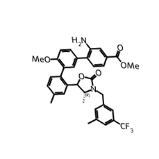 COC(=O)c1ccc(-c2ccc(OC)c(-c3ccc(C)cc3C3OC(=O)N(Cc4cc(C)cc(C(F)(F)F)c4)[C@@H]3C)c2)c(N)c1